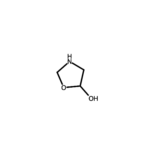 OC1CNCO1